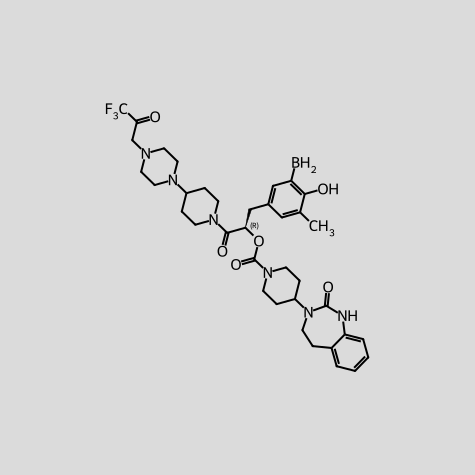 Bc1cc(C[C@@H](OC(=O)N2CCC(N3CCc4ccccc4NC3=O)CC2)C(=O)N2CCC(N3CCN(CC(=O)C(F)(F)F)CC3)CC2)cc(C)c1O